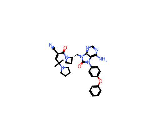 CC(C)(/C=C(/C#N)C(=O)N1CC[C@H]1Cn1c(=O)n(-c2ccc(Oc3ccccc3)cc2)c2c(N)ncnc21)N1CCCC1